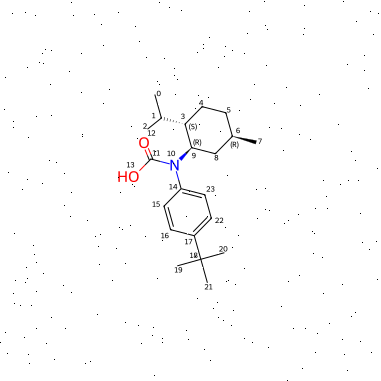 CC(C)[C@@H]1CC[C@@H](C)C[C@H]1N(C(=O)O)c1ccc(C(C)(C)C)cc1